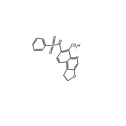 O=C(O)c1c(NS(=O)(=O)c2ccccc2)ccc2c3c(cnc12)OCC3